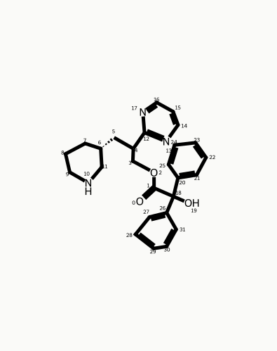 O=C(OCC(C[C@H]1CCCNC1)c1ncccn1)C(O)(c1ccccc1)c1ccccc1